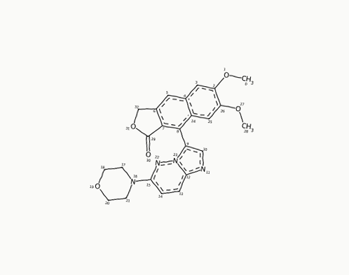 COc1cc2cc3c(c(-c4cnc5ccc(N6CCOCC6)nn45)c2cc1OC)C(=O)OC3